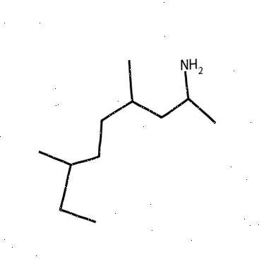 CCC(C)CCC(C)CC(C)N